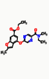 CCOC(=O)c1cc(Oc2cnc(C(=O)N(C)CC)cn2)c2cc(C)oc2c1